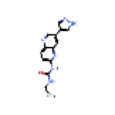 CCNC(=O)Nc1ccc2ncc(-c3cn[nH]c3)cc2n1